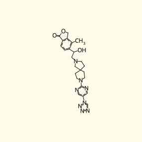 Cc1c(C(O)CN2CCC3(CCN(c4ncc(-n5cnnn5)cn4)CC3)C2)ccc2c1COC2=O